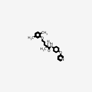 Cc1ccc(C)c(OCCCC(C)(C)C(=O)NC2CCC(Oc3cccnc3)CC2)c1